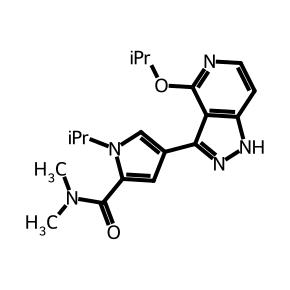 CC(C)Oc1nccc2[nH]nc(-c3cc(C(=O)N(C)C)n(C(C)C)c3)c12